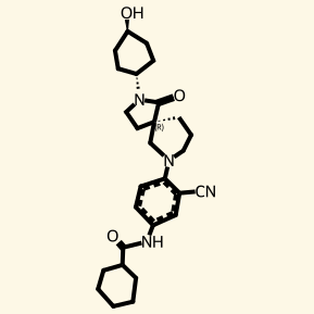 N#Cc1cc(NC(=O)C2CCCCC2)ccc1N1CCC[C@@]2(CCN([C@H]3CC[C@H](O)CC3)C2=O)C1